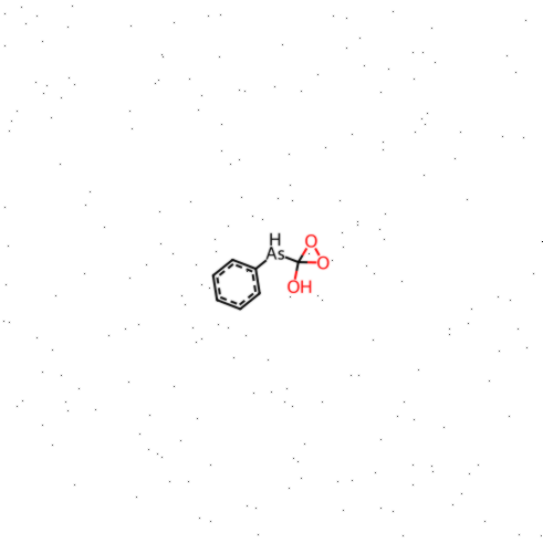 OC1([AsH]c2ccccc2)OO1